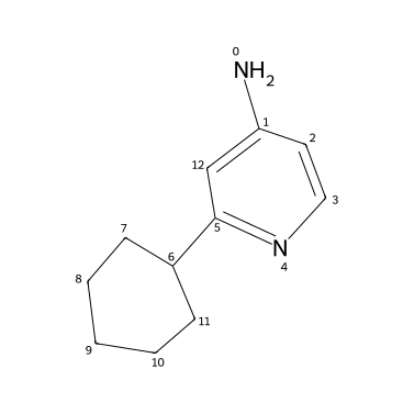 Nc1ccnc(C2CCCCC2)c1